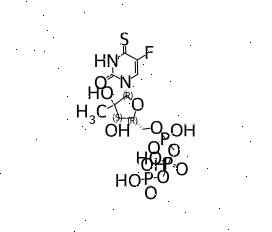 CC1(O)[C@@H](O)[C@@H](COP(=O)(O)OP(=O)(O)OP(=O)(O)O)O[C@H]1n1cc(F)c(=S)[nH]c1=O